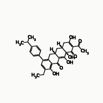 CCc1cc(-c2ccc(C(C)C)cc2)c2c(c1O)C(=O)C1=C(O)[C@@]3(O)C(=O)C(C(C)=O)=C(O)C[C@H]3C[C@H]1C2